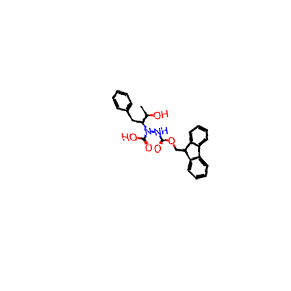 CC(O)C(Cc1ccccc1)N(NC(=O)OCC1c2ccccc2-c2ccccc21)C(=O)O